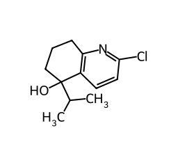 CC(C)C1(O)CCCc2nc(Cl)ccc21